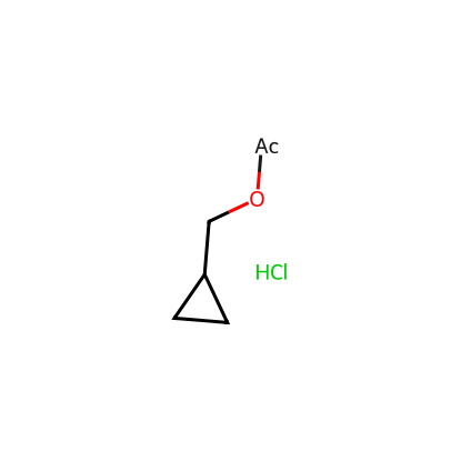 CC(=O)OCC1CC1.Cl